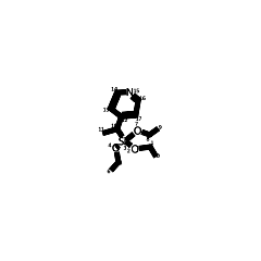 CCO[Si](OCC)(OCC)C(C)c1ccncc1